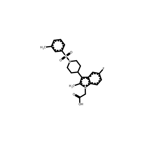 Cc1cccc(S(=O)(=O)N2CCC(c3c(C)n(CC(=O)O)c4ccc(F)cc34)CC2)c1